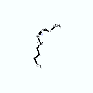 CCCCN/N=N\OC